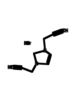 Br.C#CCN1C=CN(CC#C)C1